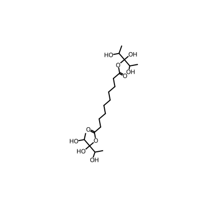 CC(O)C(O)(OC(=O)CCCCCCCCC(=O)OC(O)(C(C)O)C(C)O)C(C)O